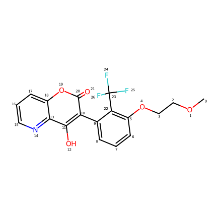 COCCOc1cccc(-c2c(O)c3ncccc3oc2=O)c1C(F)(F)F